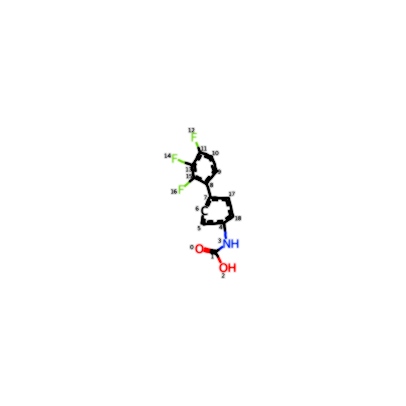 O=C(O)Nc1ccc(-c2ccc(F)c(F)c2F)cc1